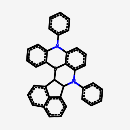 c1ccc(N2c3ccccc3B3c4c2cccc4N(c2ccccc2)C2c4cccc5cccc(c45)C32)cc1